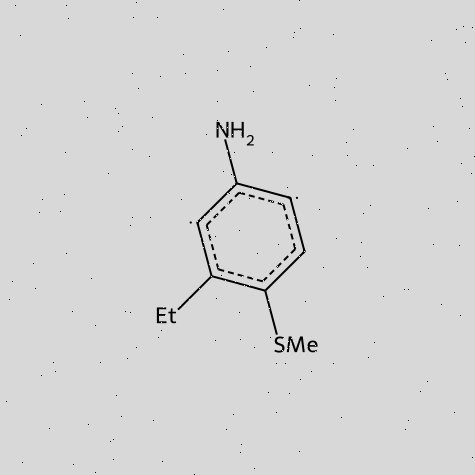 CCc1[c]c(N)[c]cc1SC